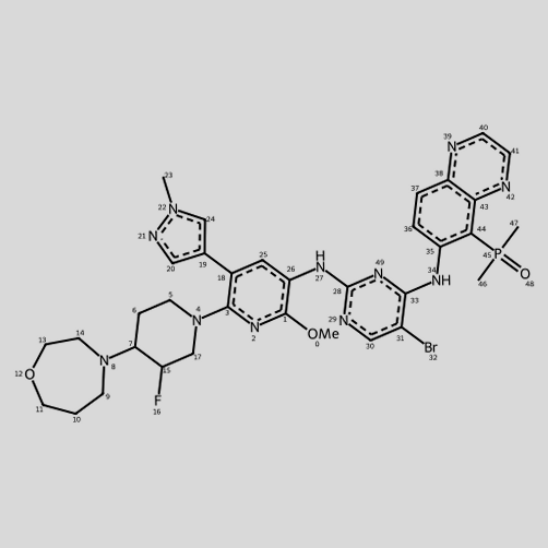 COc1nc(N2CCC(N3CCCOCC3)C(F)C2)c(-c2cnn(C)c2)cc1Nc1ncc(Br)c(Nc2ccc3nccnc3c2P(C)(C)=O)n1